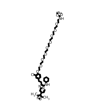 Cc1noc(C)c1-c1ccn2c(NC3CCCCC3)c(CCc3ccc(OCCOCCOCCOCCOCCOCCOCCOCCOCCNC(=O)OC(C)(C)C)c(Cl)c3)nc2c1